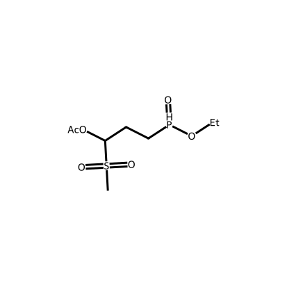 CCO[PH](=O)CCC(OC(C)=O)S(C)(=O)=O